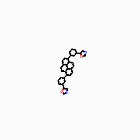 c1cc(-c2cnco2)cc(-c2ccc3ccc4c(-c5cccc(-c6cnco6)c5)ccc5ccc2c3c54)c1